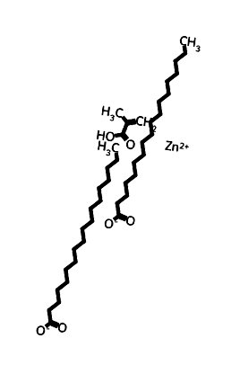 C=C(C)C(=O)O.CCCCCCCCCCCCCCCCCC(=O)[O-].CCCCCCCCCCCCCCCCCC(=O)[O-].[Zn+2]